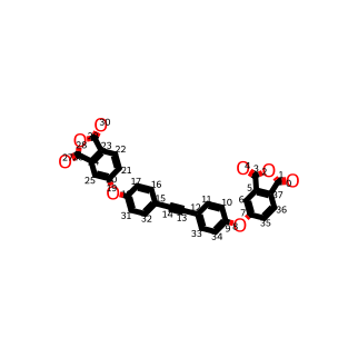 O=C1OC(=O)c2cc(Oc3ccc(C#Cc4ccc(Oc5ccc6c(c5)C(=O)OC6=O)cc4)cc3)ccc21